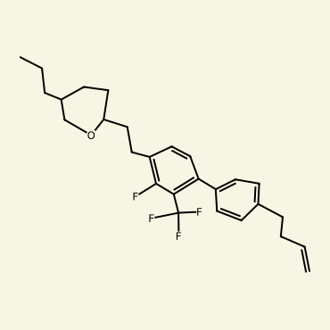 C=CCCc1ccc(-c2ccc(CCC3CCC(CCC)CO3)c(F)c2C(F)(F)F)cc1